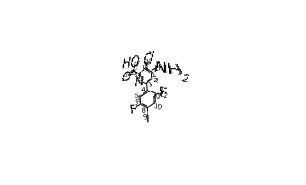 Nc1cc(-c2cc(F)c(I)cc2F)nc(C(=O)O)c1Cl